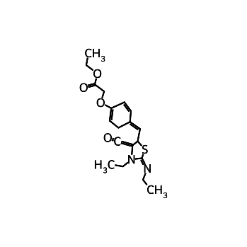 CCN=C1SC(C=C2C=CC(OCC(=O)OCC)=CC2)C(=C=O)N1CC